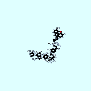 C=CCC1(CC(C)C)C(=O)NC(=O)NC1=O.CC(=O)Nc1ccc(O)cc1.CC[C@@H](c1cccc(O)c1)[C@@H](C)CN(C)C.Cn1c(=O)c2c(ncn2C)n(C)c1=O.O=C(O)c1cccnc1.O=C1CC[C@@]2(O)[C@H]3Cc4ccc(O)c5c4[C@@]2(CCN3CC2CC2)[C@H]1O5